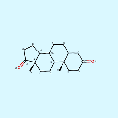 C[C@]12CCC(=O)CC1CCC1C2CC[C@]2(C)C(=O)CCC12